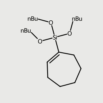 CCCCO[Si](OCCCC)(OCCCC)C1=CCCCCC1